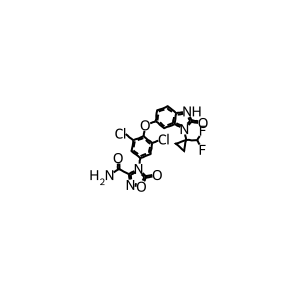 NC(=O)c1noc(=O)n1-c1cc(Cl)c(Oc2ccc3[nH]c(=O)n(C4(C(F)F)CC4)c3c2)c(Cl)c1